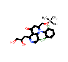 CC(C)(C)[Si](C)(C)OCc1cc(=O)c2c(CC(O)CO)ncc(Cl)c2n1-c1c(Cl)cccc1Cl